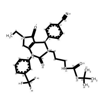 CCN1CC2=C(C1=O)[C@@H](c1ccc(C#N)cc1)N(CCCNC(=O)OC(C)(C)C)C(=O)N2c1cccc(C(F)(F)F)c1